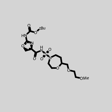 COCCOCC1CCN(S(=O)(=O)NC(=O)c2coc(NC(=O)OC(C)(C)C)n2)CCO1